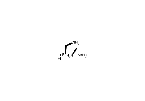 CCCCN.CN.I.[SnH2]